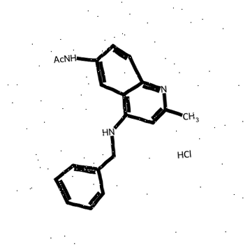 CC(=O)Nc1ccc2nc(C)cc(NCc3ccccc3)c2c1.Cl